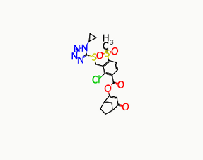 CS(=O)(=O)c1ccc(C(=O)OC2=CC(=O)C3CCC2C3)c(Cl)c1CSc1nnnn1C1CC1